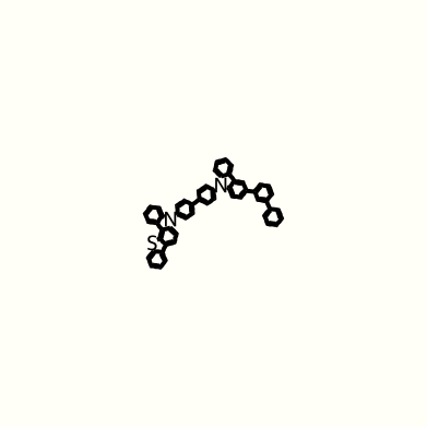 c1ccc(-c2cccc(-c3ccc4c(c3)c3ccccc3n4-c3ccc(-c4ccc(-n5c6ccccc6c6c7sc8ccccc8c7ccc65)cc4)cc3)c2)cc1